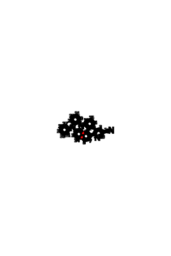 N#Cc1ccc(-c2ccccc2-c2ccccc2N2c3ccccc3N(c3ccccc3)c3ccccc32)nc1